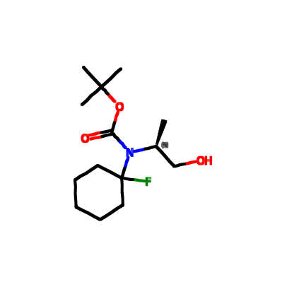 C[C@@H](CO)N(C(=O)OC(C)(C)C)C1(F)CCCCC1